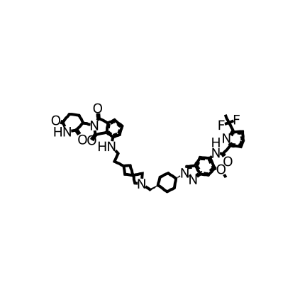 COc1cc2nn([C@H]3CC[C@H](CN4CC5(CC(CCNc6cccc7c6C(=O)N(C6CCC(=O)NC6=O)C7=O)C5)C4)CC3)cc2cc1NC(=O)c1cccc(C(C)(F)F)n1